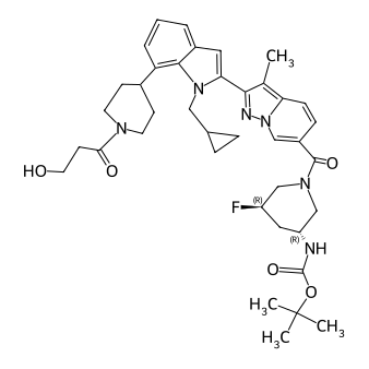 Cc1c(-c2cc3cccc(C4CCN(C(=O)CCO)CC4)c3n2CC2CC2)nn2cc(C(=O)N3C[C@H](F)C[C@@H](NC(=O)OC(C)(C)C)C3)ccc12